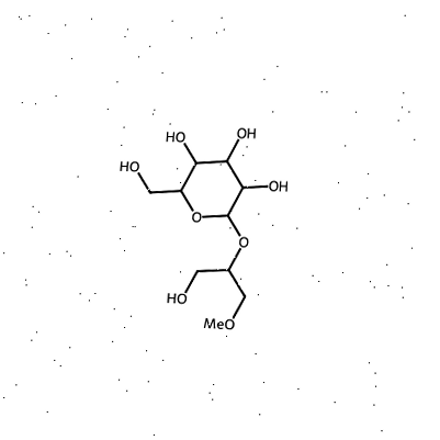 COCC(CO)OC1OC(CO)C(O)C(O)C1O